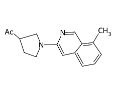 CC(=O)C1CCN(c2cc3cccc(C)c3cn2)C1